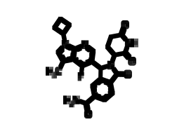 Cc1cn(C2CCC2)c2ncc(C3c4cc(C(N)=O)ccc4C(=O)N3C3CCC(=O)NC3=O)c(F)c12